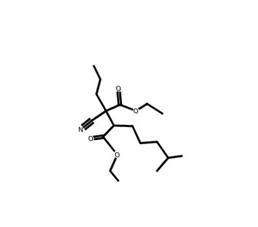 CCCC(C#N)(C(=O)OCC)C(CCCC(C)C)C(=O)OCC